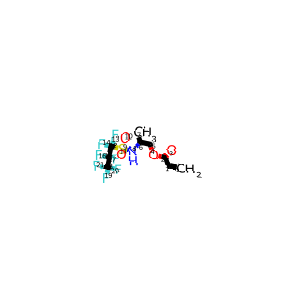 C=CC(=O)OCC(C)NS(=O)(=O)C(F)(F)C(F)(F)C(F)(F)F